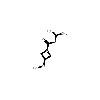 COC1CN(C(=O)OC(C)C)C1